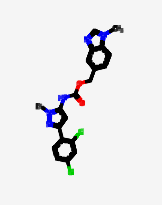 CCn1nc(-c2ccc(Cl)cc2Cl)cc1NC(=O)OCc1ccc2c(c1)ncn2C